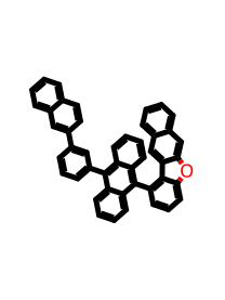 c1cc(-c2ccc3ccccc3c2)cc(-c2c3ccccc3c(-c3cccc4oc5cc6ccccc6cc5c34)c3ccccc23)c1